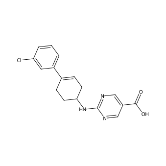 O=C(O)c1cnc(NC2CC=C(c3cccc(Cl)c3)CC2)nc1